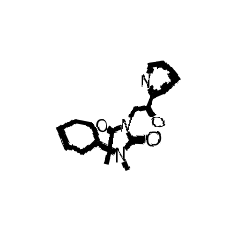 CN1C(=O)N(CC(=O)c2ccccn2)C(=O)C1(C)C1CCCCC1